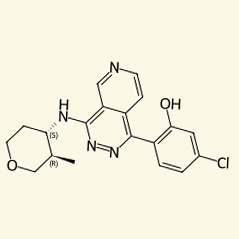 C[C@H]1COCC[C@@H]1Nc1nnc(-c2ccc(Cl)cc2O)c2ccncc12